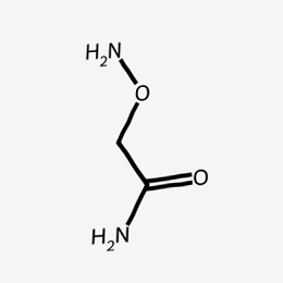 NOCC(N)=O